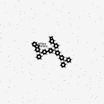 CCCCCCC1(CCCCCC)c2ccccc2-c2ccc(N(c3ccccc3)c3ccc(-c4ccc(N(c5ccc(-c6ccc(N(c7ccccc7)c7ccccc7)cc6)cc5)c5cccc(-c6ccc7c(c6)CC7)c5)cc4)cc3)cc21